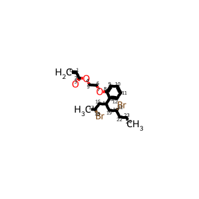 C=CC(=O)OCCOc1ccccc1C(CC(C)Br)CC(Br)CCC